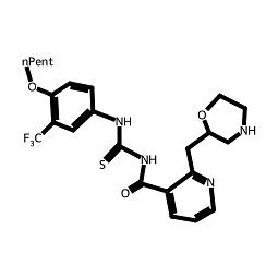 CCCCCOc1ccc(NC(=S)NC(=O)c2cccnc2CC2CNCCO2)cc1C(F)(F)F